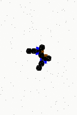 c1ccc(-c2ccc(-c3nc(-c4ccc(-c5nc(-c6ccc(-c7ccccc7)cc6)nc6c5sc5ccccc56)cc4)c4sc5ccccc5c4n3)cc2)cc1